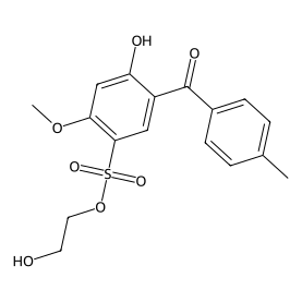 COc1cc(O)c(C(=O)c2ccc(C)cc2)cc1S(=O)(=O)OCCO